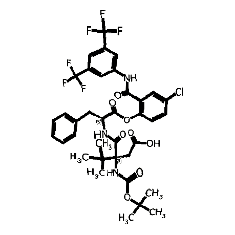 CC(C)(C)OC(=O)N[C@@](CC(=O)O)(C(=O)N[C@@H](Cc1ccccc1)C(=O)Oc1ccc(Cl)cc1C(=O)Nc1cc(C(F)(F)F)cc(C(F)(F)F)c1)C(C)(C)C